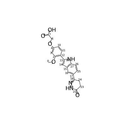 COc1cc(OCC(=O)O)ccc1-c1cc2cc(C3=NNC(=O)CC3)ccc2[nH]1